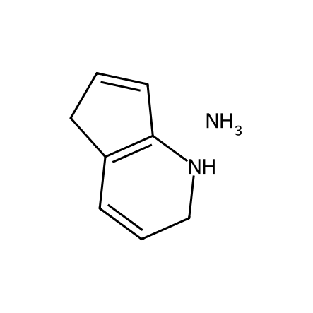 C1=CC2=C(C=CC2)NC1.N